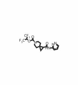 O=C(Nc1cccnn1)C1CC12CCN(C(=O)OC(C(F)(F)F)C(F)(F)F)CC2